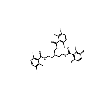 O=C(OCCN(CCOC(=O)c1c(I)ccc(I)c1I)COC(=O)c1c(I)ccc(I)c1I)c1c(I)ccc(I)c1I